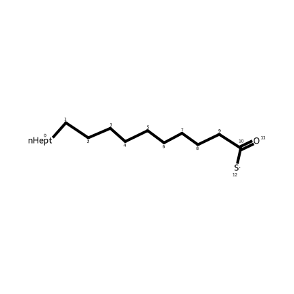 CCCCCCCCCCCCCCCCC(=O)[S]